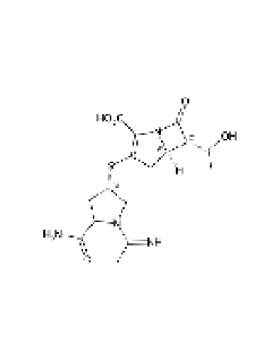 CC(=N)N1C[C@@H](SC2=C(C(=O)O)N3C(=O)[C@H](C(C)O)[C@H]3C2)CC1C(N)=O